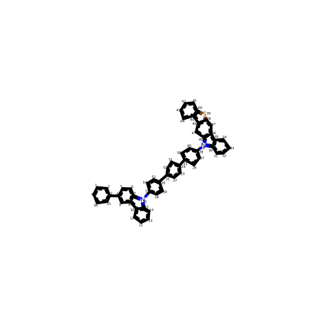 c1ccc(-c2ccc3c(c2)c2ccccc2n3-c2ccc(-c3ccc(-c4ccc(-n5c6ccccc6c6cc7sc8ccccc8c7cc65)cc4)cc3)cc2)cc1